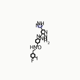 CN/N=C\C(=C/I)c1cnc(N)c(-c2nc3ccc(C(=O)NCCc4ccc(F)c(I)c4)cc3[nH]2)c1